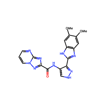 COc1cc2nc(-c3n[nH]cc3NC(=O)c3nc4ncccn4n3)[nH]c2cc1OC